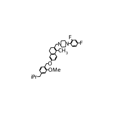 COc1cc(CC(C)C)ccc1COc1ccc2c(c1)CCC(CN1CCN(c3ccc(F)cc3F)CC1)=C2C